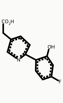 O=C(O)Cc1ccc(-c2ccc(F)cc2O)nc1